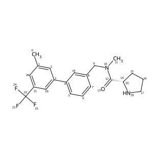 Cc1cc(-c2cccc(CN(C)C(=O)[C@@H]3CCCN3)c2)cc(C(F)(F)F)c1